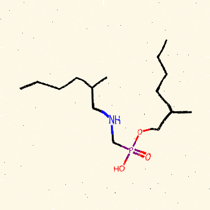 CCCCC(C)CNCP(=O)(O)OCC(C)CCCC